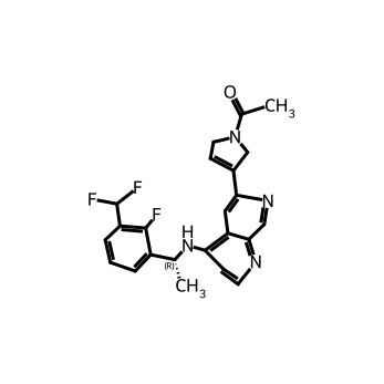 CC(=O)N1CC=C(c2cc3c(N[C@H](C)c4cccc(C(F)F)c4F)ccnc3cn2)C1